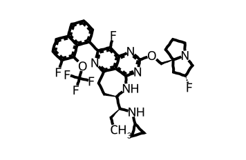 CC[C@H](NC1CC1)[C@H]1CCc2nc(-c3cccc4ccc(F)c(OC(F)(F)F)c34)c(F)c3nc(OC[C@@]45CCCN4C[C@H](F)C5)nc(c23)N1